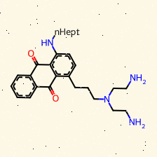 CCCCCCCNc1ccc(CCCN(CCN)CCN)c2c1C(=O)c1ccccc1C2=O